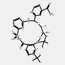 C[C@H]1CC(c2cc(C(N)=O)ccn2)Nc2cccc(n2)S(=O)(=O)NC(=O)c2ccc(C(C)(C)C)nc2N2C[C@@H]1CC2(C)C